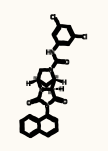 O=C1[C@@H]2[C@@H]3C[C@@H](CN3C(=O)Nc3cc(Cl)cc(Cl)c3)N2C(=O)N1c1cccc2ccccc12